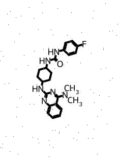 CN(C)c1nc(NC2CCC(NC(=O)Nc3ccc(F)cc3)CC2)nc2ccccc12